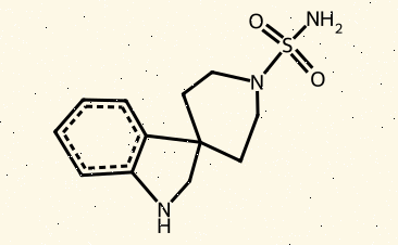 NS(=O)(=O)N1CCC2(CC1)CNc1ccccc12